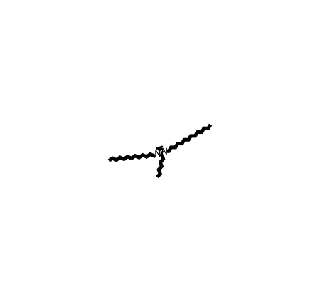 CCCCCCCCCCCCCCn1cc[n+](CCCCCCCCCCCCC)c1CCCCCC